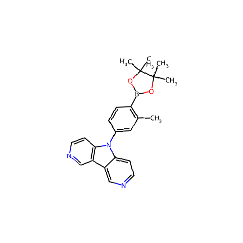 Cc1cc(-n2c3ccncc3c3cnccc32)ccc1B1OC(C)(C)C(C)(C)O1